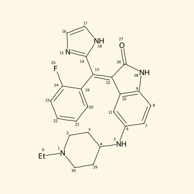 CCN1CCC(Nc2ccc3c(c2)C(=C(c2ncc[nH]2)c2ccccc2F)C(=O)N3)CC1